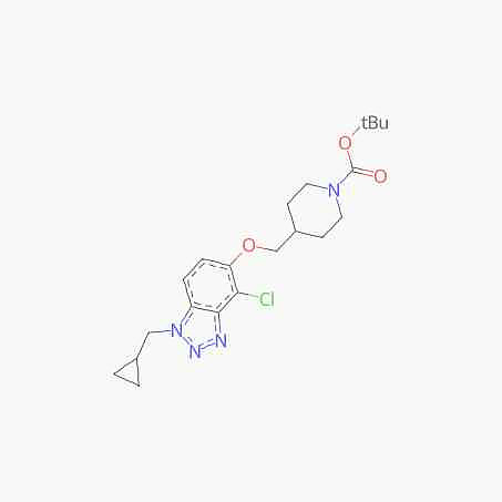 CC(C)(C)OC(=O)N1CCC(COc2ccc3c(nnn3CC3CC3)c2Cl)CC1